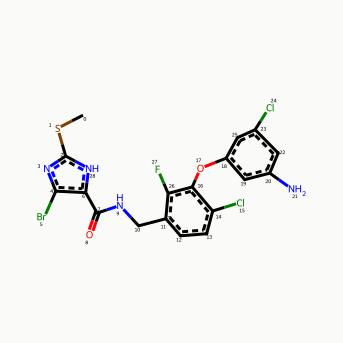 CSc1nc(Br)c(C(=O)NCc2ccc(Cl)c(Oc3cc(N)cc(Cl)c3)c2F)[nH]1